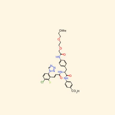 COCCOCCOCC(=O)Nc1ccc(CC(NC(=O)/C=C/c2c(-n3cnnn3)ccc(Cl)c2F)C(=O)Nc2ccc(C(=O)O)cc2)cc1